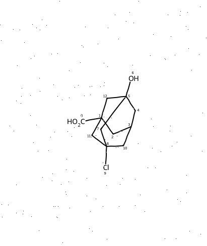 O=C(O)C12CC3CC(O)(CC(Cl)(C3)C1)C2